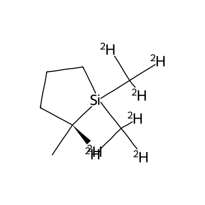 [2H]C([2H])([2H])[Si]1(C([2H])([2H])[2H])CCC[C@@]1([2H])C